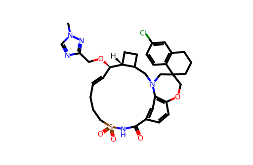 Cn1cnc(CO[C@@H]2/C=C/CCCS(=O)(=O)NC(=O)c3ccc4c(c3)N(CC3CC[C@H]32)CC2(CCCc3cc(Cl)ccc32)CO4)n1